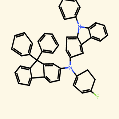 FC1=CC=C(N(c2ccc3c(c2)C(c2ccccc2)(c2ccccc2)c2ccccc2-3)c2ccc3c(c2)c2ccccc2n3-c2ccccc2)CC1